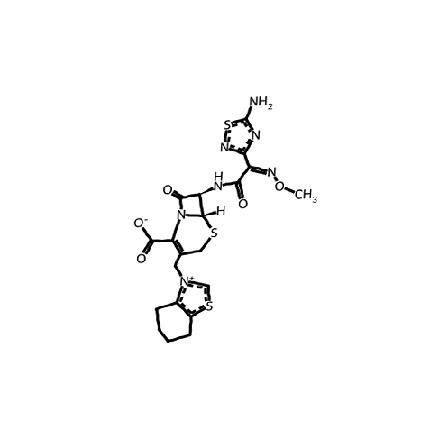 CO/N=C(\C(=O)N[C@@H]1C(=O)N2C(C(=O)[O-])=C(C[n+]3csc4c3CCCC4)CS[C@@H]12)c1nsc(N)n1